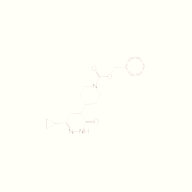 O=C1NN=C(C2CC2)CC1C1CCN(C(=O)OCc2ccccc2)CC1